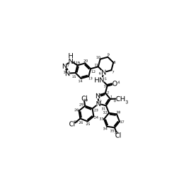 Cc1c(C(=O)NN2CCCCC2c2ccc3nn[nH]c3c2)nn(-c2ccc(Cl)cc2Cl)c1-c1ccc(Cl)cc1